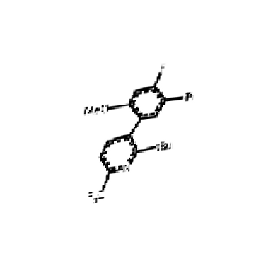 COc1cc(F)c(C(C)C)cc1-c1ccc(C(F)(F)F)nc1C(C)(C)C